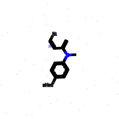 C=C(/C=C\CC)N(C)c1ccc(CCCCCC)cc1